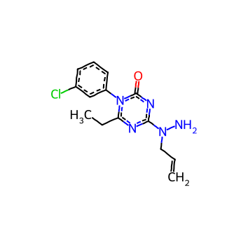 C=CCN(N)c1nc(CC)n(-c2cccc(Cl)c2)c(=O)n1